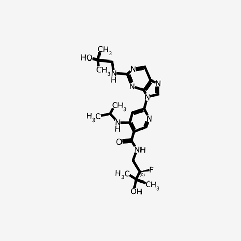 CC(C)Nc1cc(-n2cnc3cnc(NCC(C)(C)O)nc32)ncc1C(=O)NC[C@@H](F)C(C)(C)O